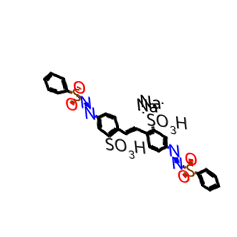 O=S(=O)(O)c1cc(N=NS(=O)(=O)c2ccccc2)ccc1C=Cc1ccc(N=NS(=O)(=O)c2ccccc2)cc1S(=O)(=O)O.[Na].[Na]